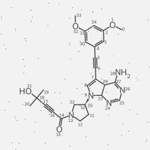 COc1cc(C#CC2=CN([C@H]3CCN(C(=O)C#CC(C)(C)O)C3)C3N=CN=C(N)C23)cc(OC)c1